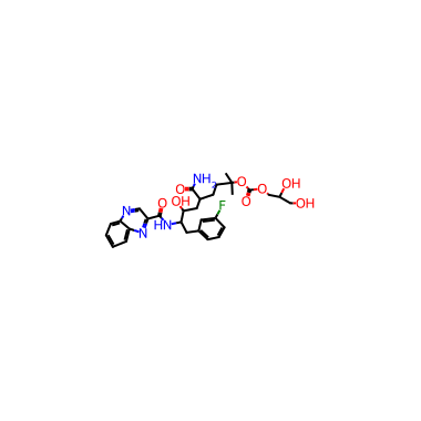 CC(C)(CCC(CC(O)C(Cc1cccc(F)c1)NC(=O)c1cnc2ccccc2n1)C(N)=O)OC(=O)OCC(O)CO